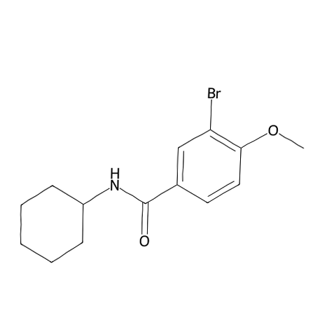 COc1ccc(C(=O)NC2CCCCC2)cc1Br